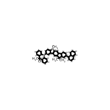 Cn1c2ccc(N3c4ccccc4C(C)(C)c4ccccc43)cc2c2cc3c(cc21)-c1ccc(-c2cccc4ccccc24)cc1C3(C)C